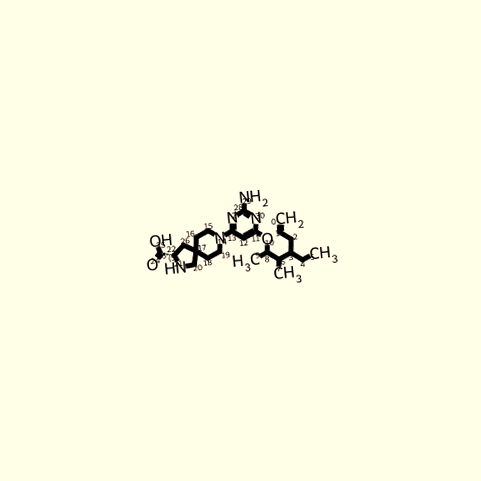 C=CCC(CC)C(C)C(C)Oc1cc(N2CCC3(CC2)CN[C@H](C(=O)O)C3)nc(N)n1